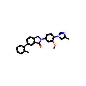 COc1cc(N2Cc3ccc(-c4ccccc4C)cc3C2=O)ccc1-n1cnc(C)c1